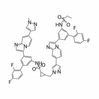 CCS(=O)(=O)Nc1cc(-c2ccc(F)cc2F)cc(-c2cnc3cc(-c4cnn(CC5CC5S(=O)(=O)Nc5cc(-c6ccc(F)cc6F)cc(-c6cnc7cc(-c8cnn(C)c8)ccn67)c5)c4)ccn23)c1